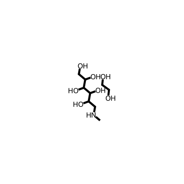 CNCC(O)C(O)C(O)C(O)CO.OCCO